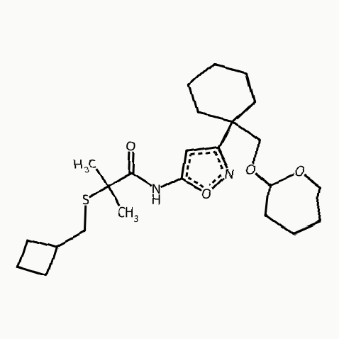 CC(C)(SCC1CCC1)C(=O)Nc1cc(C2(COC3CCCCO3)CCCCC2)no1